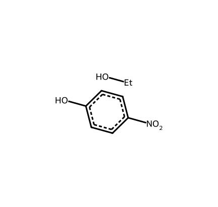 CCO.O=[N+]([O-])c1ccc(O)cc1